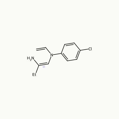 C=CN(/C=C(\N)CC)c1ccc(Cl)cc1